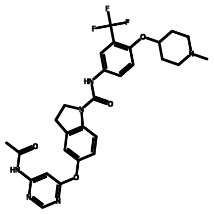 CC(=O)Nc1cc(Oc2ccc3c(c2)CCN3C(=O)Nc2ccc(OC3CCN(C)CC3)c(C(F)(F)F)c2)ncn1